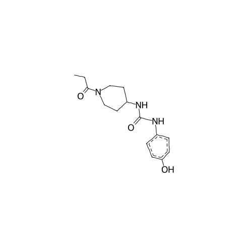 CCC(=O)N1CCC(NC(=O)Nc2ccc(O)cc2)CC1